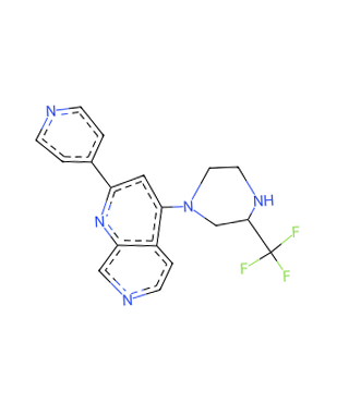 FC(F)(F)C1CN(c2cc(-c3ccncc3)nc3cnccc23)CCN1